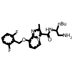 CCCCC(CN)NC(=O)c1c(C)nc2c(OCc3c(F)cccc3F)cccn12